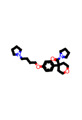 O=C(N1CCCC1)C1(c2ccc(OCCCCN3CCCC3)cc2)CCOCC1